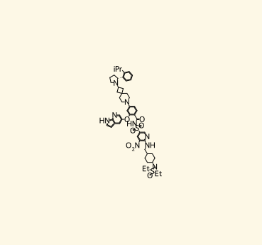 CCS(=O)(CC)=NC1CCC(CNc2ncc(S(=O)(=O)NC(=O)c3ccc(N4CCC5(CC4)CC(N4CCC[C@@H]4c4ccccc4C(C)C)C5)cc3Oc3cnc4[nH]ccc4c3)cc2[N+](=O)[O-])CC1